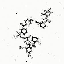 CC(C)(C)C[C@@H]1N[C@@H](C(=O)Nc2ccc(C(=O)N3CCC4(CC3)C[C@@H]4C#Cc3cccc4c3CN([C@H]3CCC(=O)NC3=O)C4=O)cc2C(C)(C)N)[C@H](c2cccc(Cl)c2F)[C@]12CNc1cc(C(F)(F)F)ncc12